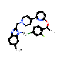 CC(Oc1cccc(C2=CCN(Cc3nc4ccc(C(=O)O)cc4n3C)CC2)n1)c1ccc(Cl)cc1F